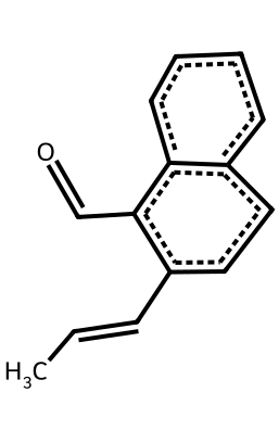 CC=Cc1ccc2ccccc2c1C=O